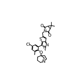 Cc1cc(Cl)cc(-c2c3sc(CN4C(=O)C5C(C4=O)C5(C)C)cc3nn2C)c1OC12CCCN(CC1)C2